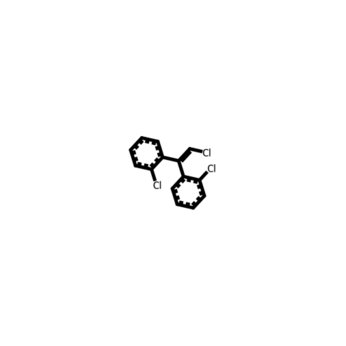 ClC=C(c1ccccc1Cl)c1ccccc1Cl